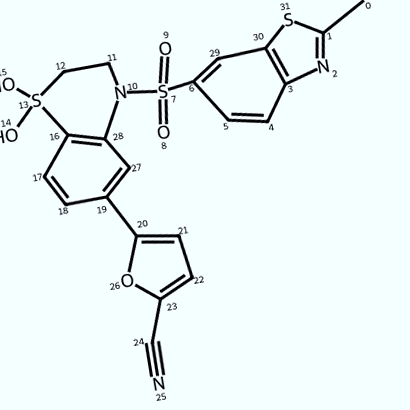 Cc1nc2ccc(S(=O)(=O)N3CCS(O)(O)c4ccc(-c5ccc(C#N)o5)cc43)cc2s1